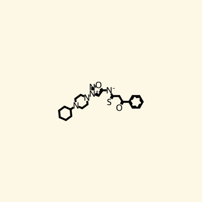 O=C(CC(=S)[N-]c1c[n+](N2CCN(C3CCCCC3)CC2)no1)c1ccccc1